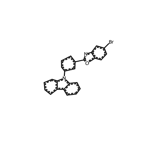 Brc1ccc2oc(-c3cccc(-n4c5ccccc5c5ccccc54)c3)nc2c1